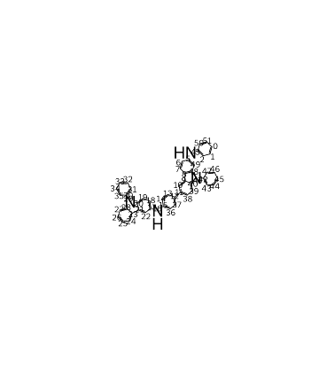 c1ccc(Nc2ccc3c4cc(-c5ccc(Nc6ccc7c(c6)c6ccccc6n7-c6ccccc6)cc5)ccc4n(-c4ccccc4)c3c2)cc1